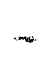 COCCn1c(Cc2cc(F)c(-c3cccc(OCc4ccc(C)nc4)n3)cc2F)nc2ccc(C(=O)O)cc21